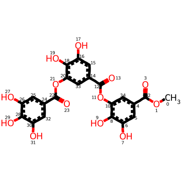 COC(=O)c1cc(O)c(O)c(OC(=O)c2cc(O)c(O)c(OC(=O)c3cc(O)c(O)c(O)c3)c2)c1